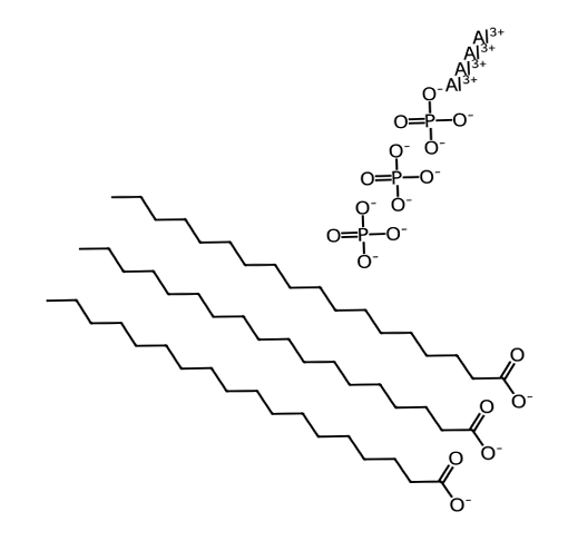 CCCCCCCCCCCCCCCCCC(=O)[O-].CCCCCCCCCCCCCCCCCC(=O)[O-].CCCCCCCCCCCCCCCCCC(=O)[O-].O=P([O-])([O-])[O-].O=P([O-])([O-])[O-].O=P([O-])([O-])[O-].[Al+3].[Al+3].[Al+3].[Al+3]